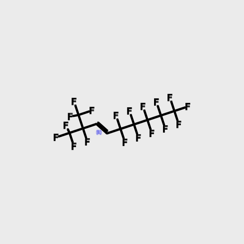 FC(F)(F)C(F)(F)C(F)(F)C(F)(F)C(F)(F)/C=C/C(F)(C(F)(F)F)C(F)(F)F